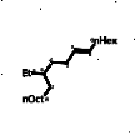 [CH2]CCCCCC=CCCC(CC)CCCCCCCC[CH2]